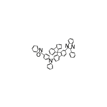 c1ccc(-c2nc3ccccc3nc2-c2ccc3c(c2)C2(c4ccccc4-c4ccccc42)c2cc(N(c4ccccc4)c4ccc(-c5nc6ccccc6o5)cc4)ccc2-3)cc1